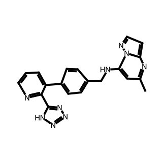 Cc1cc(NCc2ccc(-c3cccnc3-c3nnn[nH]3)cc2)n2nccc2n1